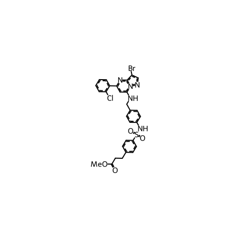 COC(=O)CCc1ccc(S(=O)(=O)Nc2ccc(CNc3cc(-c4ccccc4Cl)nc4c(Br)cnn34)cc2)cc1